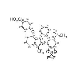 C[C@H](Oc1cccc(-n2nc(C(F)(F)F)c3c2[C@@H](Oc2ccc(C(=O)O)cc2)CCC3)n1)c1ccc2c(c1)OC(F)(F)O2